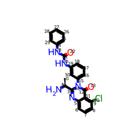 C[C@H](N)c1nc2cccc(Cl)c2c(=O)n1-c1cccc(NC(=O)Nc2ccccc2)c1